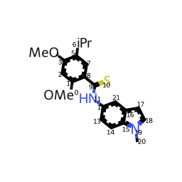 COc1cc(OC)c(C(C)C)cc1C(=S)Nc1ccc2c(ccn2C)c1